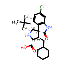 CC(C)(C)C[C@H]1N[C@@H](C(=O)O)[C@H](CC2CCCCC2)[C@@]12C(=O)Nc1cc(Cl)ccc12